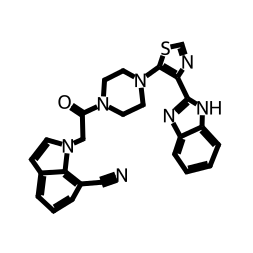 N#Cc1cccc2ccn(CC(=O)N3CCN(c4scnc4-c4nc5ccccc5[nH]4)CC3)c12